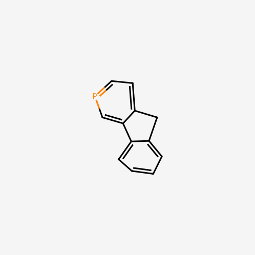 c1ccc2c(c1)Cc1ccpcc1-2